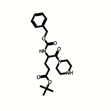 CC(C)(C)OC(=O)CCC(NC(=O)OCc1ccccc1)C(=O)N1CCNCC1